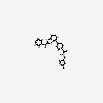 Cc1cc(CNC(=O)c2ccc(-c3cccc4nc(Nc5ccccc5)nn34)cc2)no1